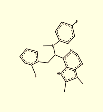 Cc1[nH]c2c(C(Cc3ccccc3F)N(C)c3ccc(F)cc3)nccc2c1C